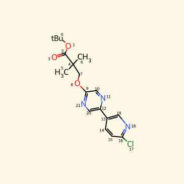 CC(C)(C)OC(=O)C(C)(C)COc1cnc(-c2ccc(Cl)nc2)cn1